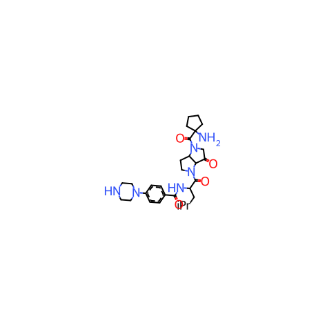 CC(C)CC(NC(=O)c1ccc(N2CCNCC2)cc1)C(=O)N1CCC2C1C(=O)CN2C(=O)C1(N)CCCC1